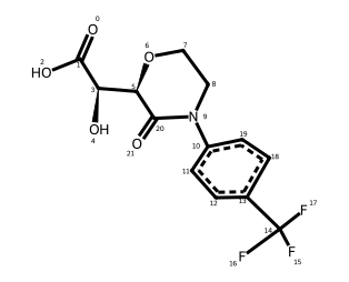 O=C(O)[C@H](O)[C@H]1OCCN(c2ccc(C(F)(F)F)cc2)C1=O